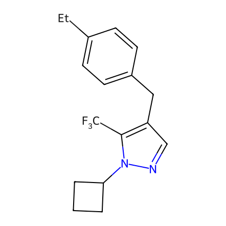 CCc1ccc(Cc2cnn(C3CCC3)c2C(F)(F)F)cc1